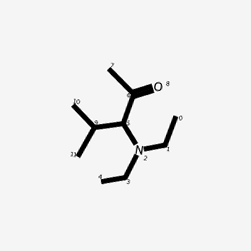 CCN(CC)C(C(C)=O)C(C)C